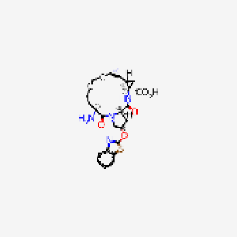 N[C@H]1CCCCC/C=C\[C@@H]2C[C@@]2(C(=O)O)NC(=O)[C@@H]2C[C@@H](Oc3nc4ccccc4s3)CN2C1=O